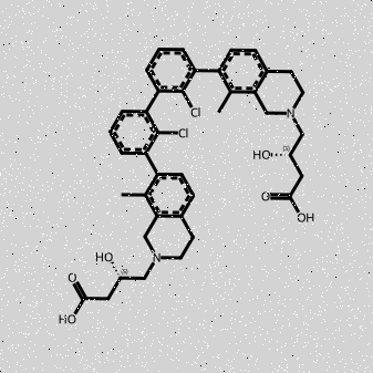 Cc1c(-c2cccc(-c3cccc(-c4ccc5c(c4C)CN(C[C@@H](O)CC(=O)O)CC5)c3Cl)c2Cl)ccc2c1CN(C[C@@H](O)CC(=O)O)CC2